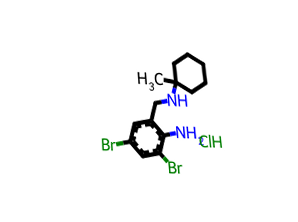 CC1(NCc2cc(Br)cc(Br)c2N)CCCCC1.Cl